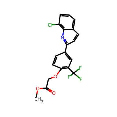 COC(=O)COc1ccc(-c2ccc3cccc(Cl)c3n2)cc1C(F)(F)F